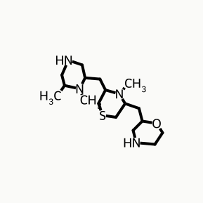 CC1CNCC(CC2CSCC(CC3CNCCO3)N2C)N1C